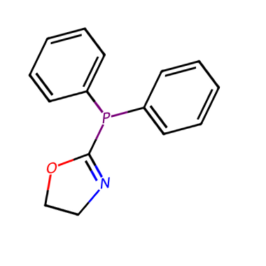 c1ccc(P(C2=NCCO2)c2ccccc2)cc1